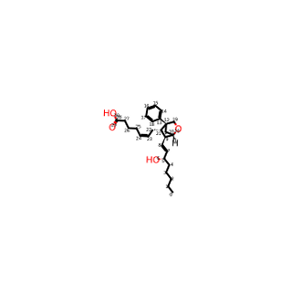 CCCCC[C@H](O)/C=C/[C@@H]1[C@@H]2C[C@@](c3ccccc3)(CO2)[C@H]1C/C=C\CCCC(=O)O